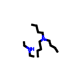 CCCCN(CCCC)CCCC.CCNCC